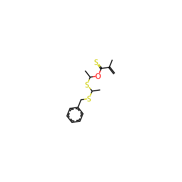 C=C(C)C(=S)OC(C)SC(C)SCc1ccccc1